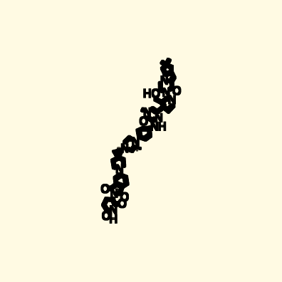 C[C@H]1CN([C@H]2CC23CCN(c2ccc4c(c2)C(=O)N(C2CCC(=O)NC2=O)C4=O)CC3)CCN1c1ccc(Nc2nc(-c3ccnc(N4CCn5c(cc6c5CC(C)(C)C6)C4=O)c3CO)cn(C)c2=O)cc1